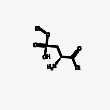 CCOP(=O)(O)C[C@@H](N)C(=O)CC